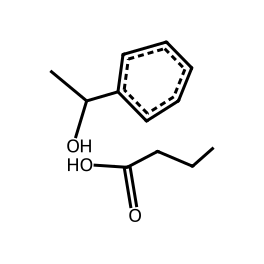 CC(O)c1ccccc1.CCCC(=O)O